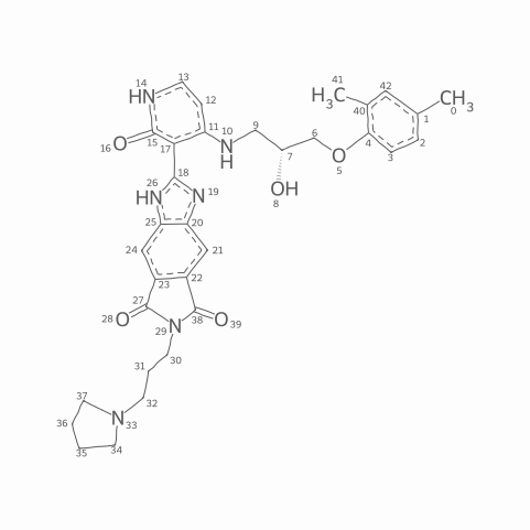 Cc1ccc(OC[C@H](O)CNc2cc[nH]c(=O)c2-c2nc3cc4c(cc3[nH]2)C(=O)N(CCCN2CCCC2)C4=O)c(C)c1